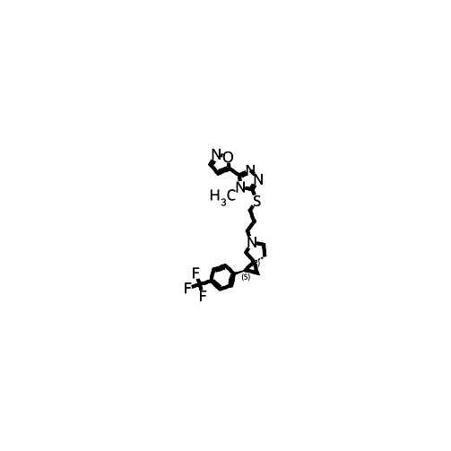 Cn1c(SCCCN2CC[C@@]3(C[C@H]3c3ccc(C(F)(F)F)cc3)C2)nnc1-c1ccno1